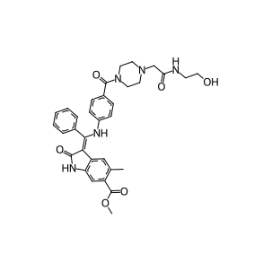 COC(=O)c1cc2c(cc1C)/C(=C(\Nc1ccc(C(=O)N3CCN(CC(=O)NCCO)CC3)cc1)c1ccccc1)C(=O)N2